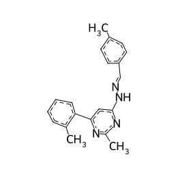 Cc1ccc(/C=N/Nc2cc(-c3ccccc3C)nc(C)n2)cc1